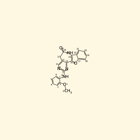 COc1ccccc1Nc1ncc2c(n1)-c1oc3ccccc3c1NC(=O)C2